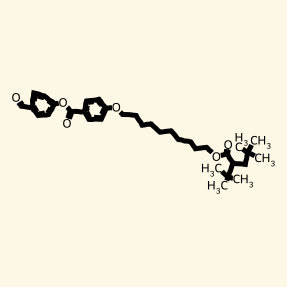 CC(C)(C)CC(C(=O)OCCCCCCCCCCOc1ccc(C(=O)Oc2ccc(C=O)cc2)cc1)C(C)(C)C